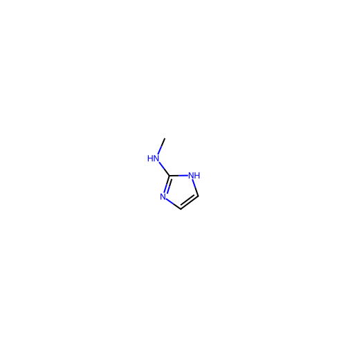 CNc1ncc[nH]1